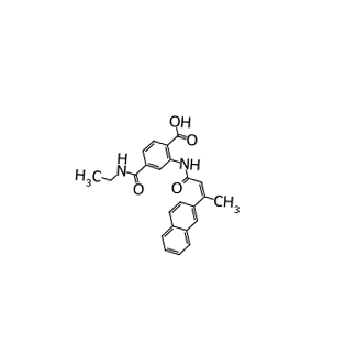 CCNC(=O)c1ccc(C(=O)O)c(NC(=O)/C=C(/C)c2ccc3ccccc3c2)c1